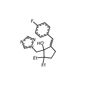 CCC1(CC)CCC(=Cc2ccc(F)cc2)C1(O)Cn1cncn1